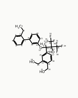 CCc1ccccc1-c1cccc(OC(C)(c2ccc(CO)c(CO)c2)C(O)(C(F)(F)F)C(F)(F)F)c1